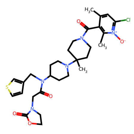 Cc1cc(Cl)[n+]([O-])c(C)c1C(=O)N1CCC(C)(N2CCC(N(Cc3ccsc3)C(=O)CN3CCOC3=O)CC2)CC1